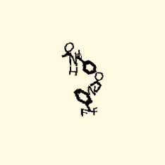 CC(=O)N[C@@H](C)c1ccc(OC2CCN(c3cccc(C(F)F)c3)C2)cc1